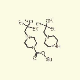 CCC(O)(CC)CN1CCN(C(=O)OC(C)(C)C)CC1.CCC(O)(CC)CN1CCNCC1